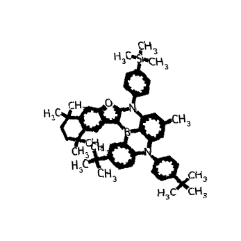 Cc1cc2c3c(c1)N(c1ccc([Si](C)(C)C)cc1)c1oc4cc5c(cc4c1B3c1cc(C(C)(C)C)ccc1N2c1ccc(C(C)(C)C)cc1)C(C)(C)CCC5(C)C